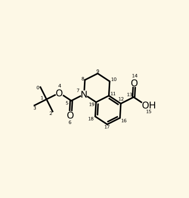 CC(C)(C)OC(=O)N1CCCc2c(C(=O)O)cccc21